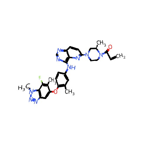 C=CC(=O)N1CCN(c2ccc3ncnc(Nc4ccc(Oc5cc6nnn(C)c6c(F)c5C)c(C)c4)c3n2)C[C@H]1C